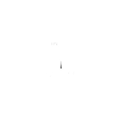 CC(C(=O)O)[C@@H]1CCNC1